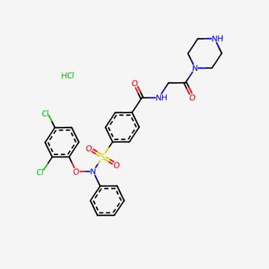 Cl.O=C(NCC(=O)N1CCNCC1)c1ccc(S(=O)(=O)N(Oc2ccc(Cl)cc2Cl)c2ccccc2)cc1